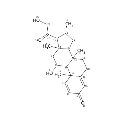 CC1CC2C(C)(CC(O)C3C4(C)C=CC(=O)C=C4CCC32C)C1C(=O)CO